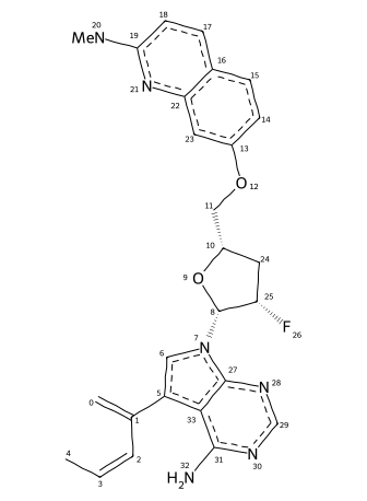 C=C(/C=C\C)c1cn([C@@H]2O[C@H](COc3ccc4ccc(NC)nc4c3)C[C@@H]2F)c2ncnc(N)c12